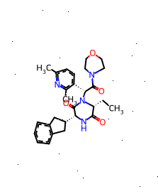 CC[C@@H]1C(=O)N[C@H](C2Cc3ccccc3C2)C(=O)N1[C@@H](C(=O)N1CCOCC1)c1ccc(C)nc1C